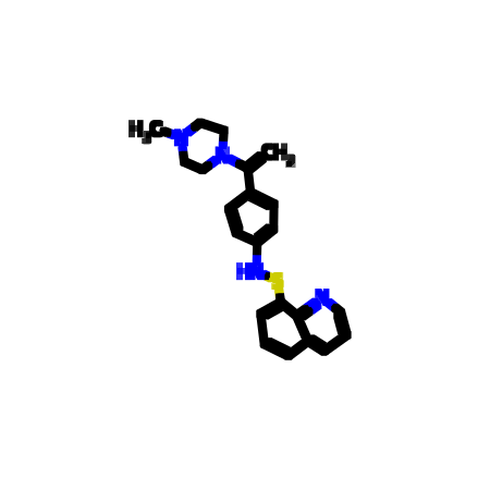 C=C(c1ccc(NSc2cccc3cccnc23)cc1)N1CCN(C)CC1